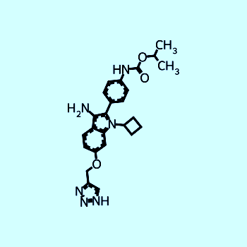 CC(C)OC(=O)Nc1ccc(-c2c(N)c3ccc(OCc4c[nH]nn4)cc3n2C2CCC2)cc1